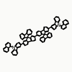 c1ccc2c(c1)-c1ccccc1C21c2cc(-c3ccc4c(c3)C3(c5ccccc5-c5ccccc53)c3cc(-c5ccc6c(c5)c5ccccc5n6-c5cccc6ccccc56)ccc3-4)ccc2-c2ccc(-c3ccc4c(c3)c3ccccc3n4-c3cccc4ccccc34)cc21